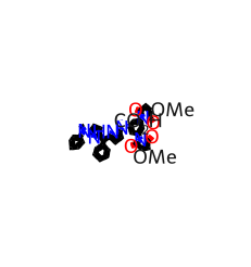 COC1=CC(=O)N(c2cc(N3C(=O)C=C(OC)C3=O)cc(N(C(=O)O)c3ccc(/C(=C4\C=CC(N(C)c5ccccc5)=N4)c4ccccc4)[nH]3)c2)C1=O